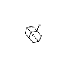 CCC12OC3CC(CC(C3)O1)O2